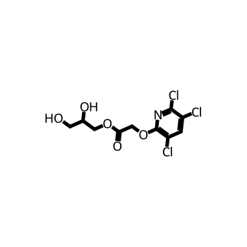 O=C(COc1nc(Cl)c(Cl)cc1Cl)OCC(O)CO